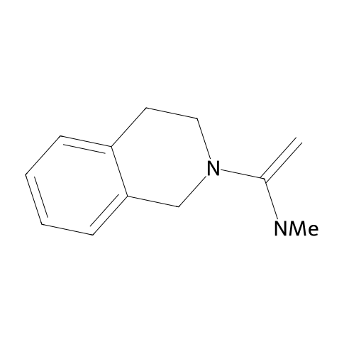 C=C(NC)N1CCc2ccccc2C1